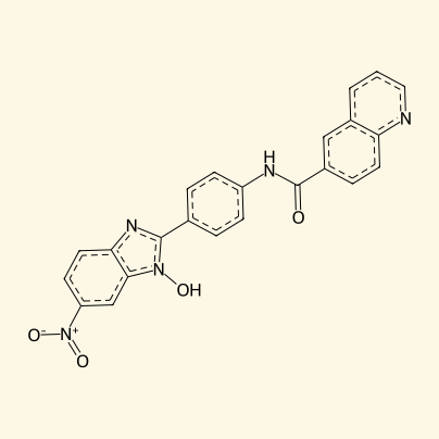 O=C(Nc1ccc(-c2nc3ccc([N+](=O)[O-])cc3n2O)cc1)c1ccc2ncccc2c1